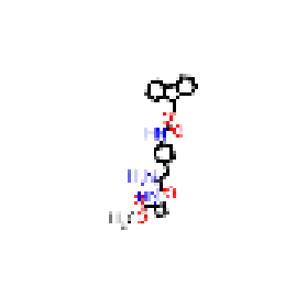 COC(=O)C1(NC(=O)[C@@H](N)Cc2ccc(NC(=O)OCC3c4ccccc4-c4ccccc43)cc2)CCC1